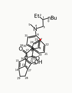 CCCCC(CC)CN(C)c1ccc(C(=O)Oc2c3cc(C(=O)c4ccccc4)c(O)c2CC3)cc1